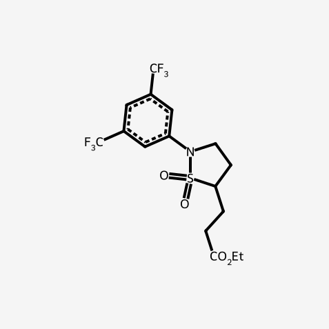 CCOC(=O)CCC1CCN(c2cc(C(F)(F)F)cc(C(F)(F)F)c2)S1(=O)=O